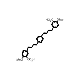 COc1ccc(C=CC=Cc2ccc(C=CC=Cc3ccc(OC)c(C(=O)O)c3)cc2)cc1C(=O)O